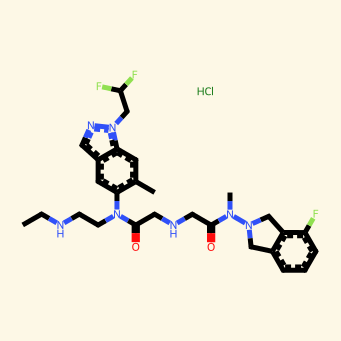 CCNCCN(C(=O)CNCC(=O)N(C)N1Cc2cccc(F)c2C1)c1cc2cnn(CC(F)F)c2cc1C.Cl